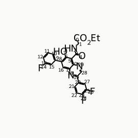 CCOC(=O)CNC(=O)c1c(O)c(-c2cccc(F)c2)cc2nc(-c3ccc(F)c(F)c3)cnc12